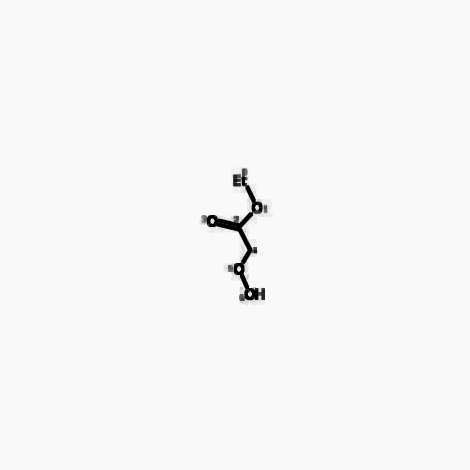 CCOC(=O)COO